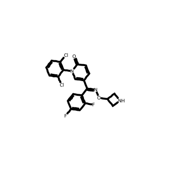 O=c1ccc(C(=NOC2CNC2)c2ccc(F)cc2F)cn1-c1c(Cl)cccc1Cl